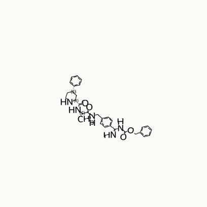 C[C@H](NC(=O)[C@H]1C[C@@H](c2ccccc2)CCN1)C(=O)NCc1ccc(C(=N)NC(=O)OCc2ccccc2)cc1